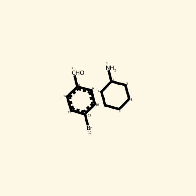 NC1CCCCC1.O=Cc1ccc(Br)cc1